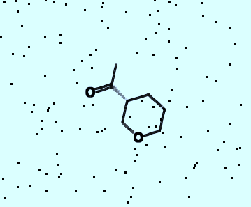 CC(=O)[C@@H]1CCCOC1